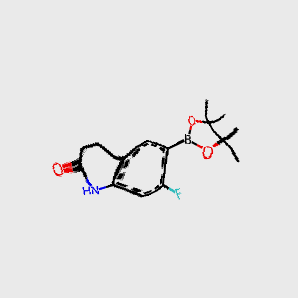 CC1(C)OB(c2cc3c(cc2F)NC(=O)C3)OC1(C)C